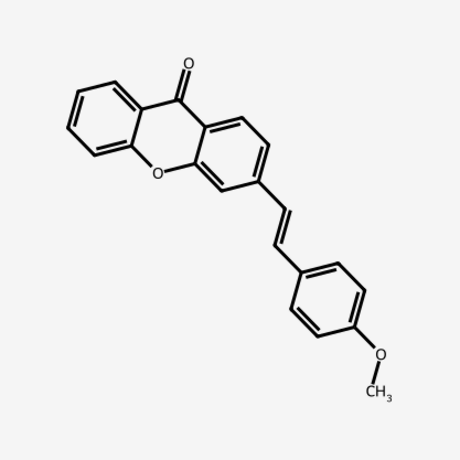 COc1ccc(C=Cc2ccc3c(=O)c4ccccc4oc3c2)cc1